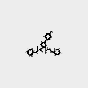 Cc1ccc(-c2ccc(C(=O)NCc3cccnc3)c(NCCc3ccccn3)n2)cc1